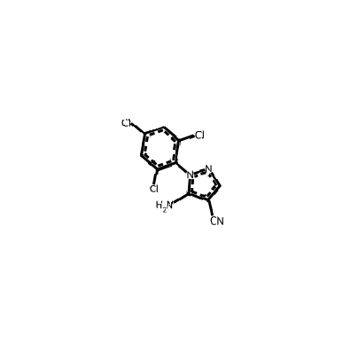 N#Cc1cnn(-c2c(Cl)cc(Cl)cc2Cl)c1N